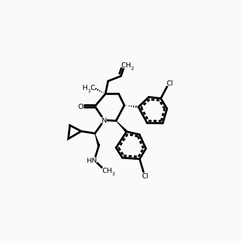 C=CC[C@@]1(C)C[C@H](c2cccc(Cl)c2)[C@@H](c2ccc(Cl)cc2)N([C@@H](CNC)C2CC2)C1=O